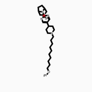 CC(C)OCCCCCCCCCCN1CCC(c2cnc(N3C4CCC3CN(C(C)C)C4)nc2)CC1